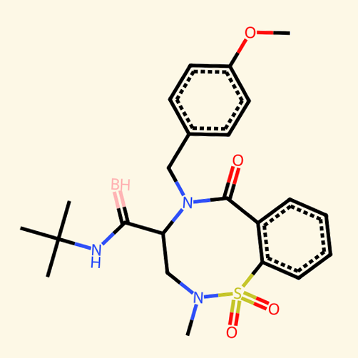 B=C(NC(C)(C)C)C1CN(C)S(=O)(=O)c2ccccc2C(=O)N1Cc1ccc(OC)cc1